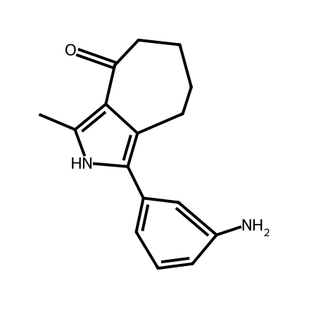 Cc1[nH]c(-c2cccc(N)c2)c2c1C(=O)CCCC2